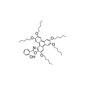 CCCCCOc1cc2c3cc(OCCCCC)c(OCCCCC)cc3c3c(cc(OCCCCC)c4oc(-c5ccccc5O)nc43)c2cc1OCCCCC